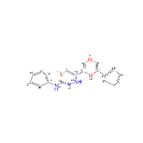 C1=CCCC(C2=COC=C(C3=CSC(Nc4ccccc4)=NN3)O2)=C1